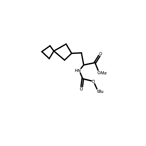 COC(=O)C(CC1CC2(CCC2)C1)NC(=O)OC(C)(C)C